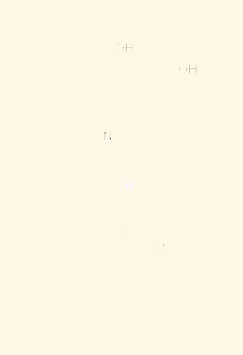 O=C(/C=C/c1cc(O)c(O)cn1)c1ccccc1